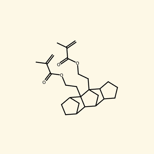 C=C(C)C(=O)OCCC12CC(C3CCCC31)C1C3CCC(C3)C12CCOC(=O)C(=C)C